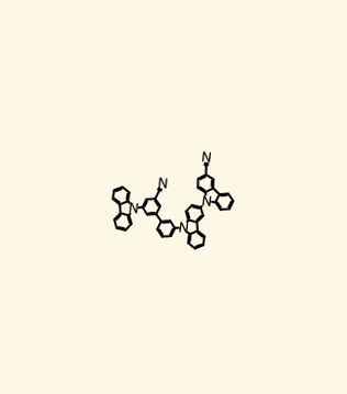 N#Cc1cc(-c2cccc(-n3c4ccccc4c4cc(-n5c6ccccc6c6cc(C#N)ccc65)ccc43)c2)cc(-n2c3ccccc3c3ccccc32)c1